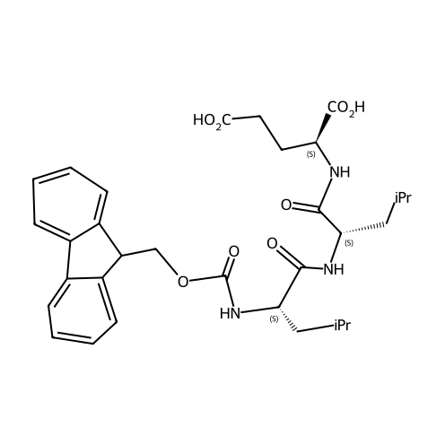 CC(C)C[C@H](NC(=O)OCC1c2ccccc2-c2ccccc21)C(=O)N[C@@H](CC(C)C)C(=O)N[C@@H](CCC(=O)O)C(=O)O